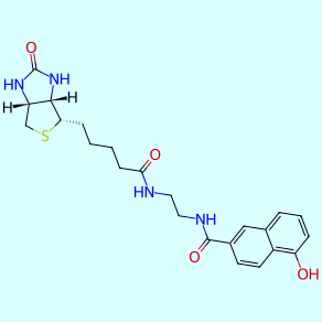 O=C(CCCC[C@@H]1SC[C@@H]2NC(=O)N[C@@H]21)NCCNC(=O)c1ccc2c(O)cccc2c1